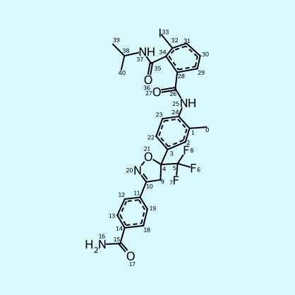 Cc1cc(C2(C(F)(F)F)CC(c3ccc(C(N)=O)cc3)=NO2)ccc1NC(=O)c1cccc(I)c1C(=O)NC(C)C